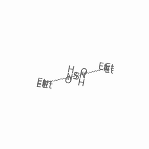 CC[N+](CC)(CC)CCCCCCCCCCCCCCCC(=O)NCCCSSCCCNC(=O)CCCCCCCCCCCCCCC[N+](CC)(CC)CC